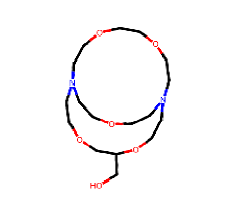 OCC1COCCN2CCOCCOCCN(CCOCC2)CCO1